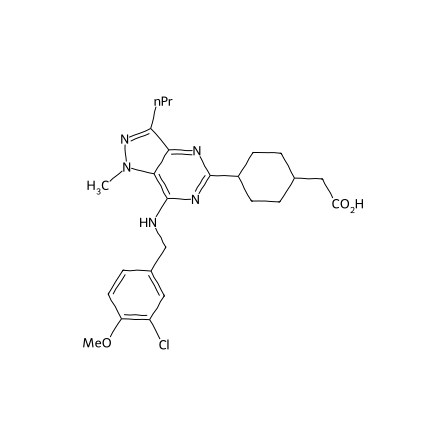 CCCc1nn(C)c2c(NCc3ccc(OC)c(Cl)c3)nc(C3CCC(CC(=O)O)CC3)nc12